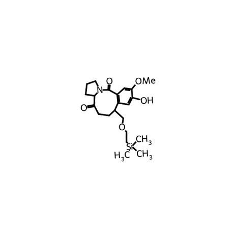 COc1cc2c(cc1O)C(COCC[Si](C)(C)C)CCC(=O)C1CCCN1C2=O